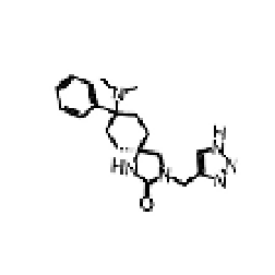 CN(C)[C@]1(c2ccccc2)CC[C@]2(CC1)CN(Cc1c[nH]nn1)C(=O)N2